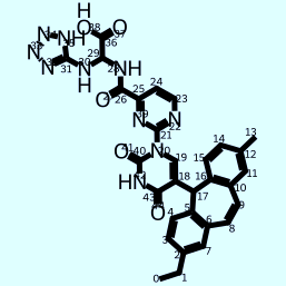 CCc1ccc2c(c1)C=Cc1cc(C)ccc1C2c1cn(-c2nccc(C(=O)NC(Nc3nnn[nH]3)C(=O)O)n2)c(=O)[nH]c1=O